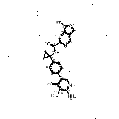 CC(C)n1ncc2cnc(C(=O)NC3(c4ccc(-c5cnc(N)n(C)c5=O)cc4)CC3)nc21